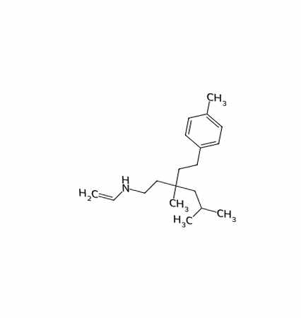 C=CNCCC(C)(CCc1ccc(C)cc1)CC(C)C